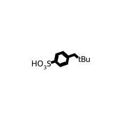 CC(C)(C)Cc1ccc(S(=O)(=O)O)cc1